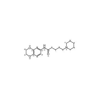 O=C(CCCCN1CCCCC1)Nc1ccc2c(c1)OCCO2